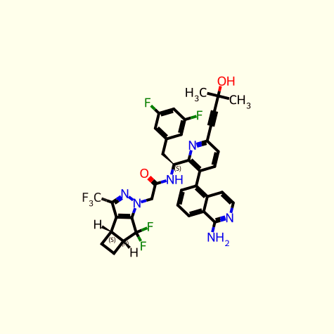 CC(C)(O)C#Cc1ccc(-c2cccc3c(N)nccc23)c([C@H](Cc2cc(F)cc(F)c2)NC(=O)Cn2nc(C(F)(F)F)c3c2C(F)(F)[C@@H]2CC[C@H]32)n1